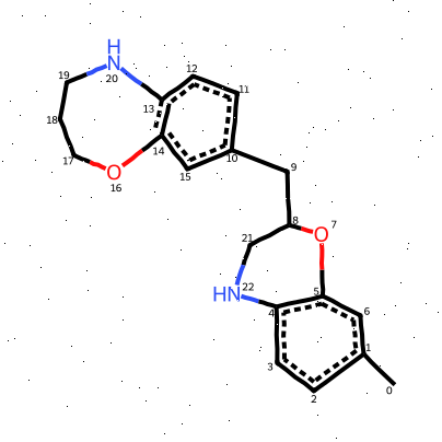 Cc1ccc2c(c1)OC(Cc1ccc3c(c1)OCCCN3)CN2